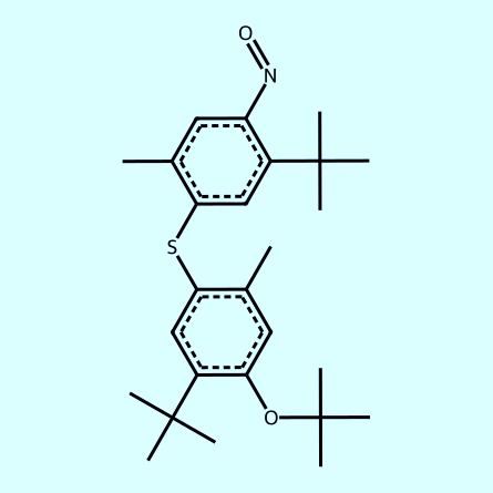 Cc1cc(N=O)c(C(C)(C)C)cc1Sc1cc(C(C)(C)C)c(OC(C)(C)C)cc1C